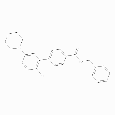 Nc1ncc(N2CCOCC2)cc1-c1ccc(C(=O)NCc2ccccc2)cc1